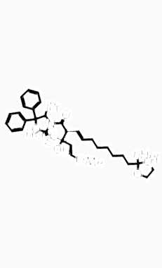 CCCCCCCC1(CCCCCCC=C[C@H](C(=O)N2C(=S)OC(c3ccccc3)(c3ccccc3)C2C(C)C)[C@@](O)(CCOC)C(=O)O)OCCO1